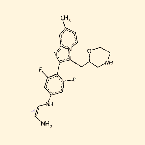 Cc1ccn2c(CC3CNCCO3)c(-c3c(F)cc(N/C=C\N)cc3F)nc2c1